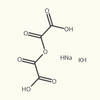 O=C(O)C(=O)OC(=O)C(=O)O.[KH].[NaH]